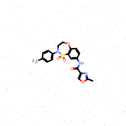 Cc1nc(C(=O)Nc2ccc3c(c2)S(=O)(=O)N(c2ccc(C(F)(F)F)cc2)CCO3)co1